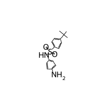 CC(C)(C)c1ccc(S(=O)(=O)Nc2ccc(N)cc2)cc1